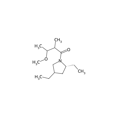 CCC1C[C@@H](CC)N(C(=O)C(C)C(C)OC)C1